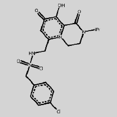 CC(C)N1CCn2c(CNS(=O)(=O)Cc3ccc(Cl)cc3)cc(=O)c(O)c2C1=O